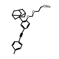 [CH2]c1ccc(C#Cc2ccc(OCOCCOC)c(C34CC5CC(CC(C5)C3)C4)c2)cc1